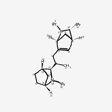 CC(CC1=C[C@H]2C[C@@H]1N(C(C)C)[C@@H]2C(C)C)[C@@H]1[C@H]2CC[C@H](C2)N1C(C)C